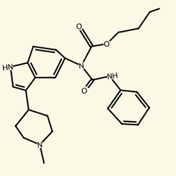 CCCCOC(=O)N(C(=O)Nc1ccccc1)c1ccc2[nH]cc(C3CCN(C)CC3)c2c1